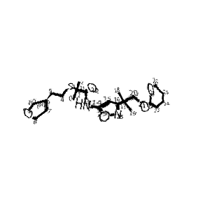 CC(C)(SCC[C@H]1CCOC1)C(=O)Nc1cc(C(C)(C)COC2CCCCO2)no1